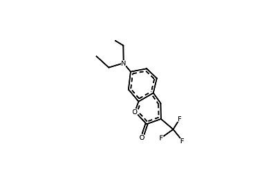 CCN(CC)c1ccc2cc(C(F)(F)F)c(=O)oc2c1